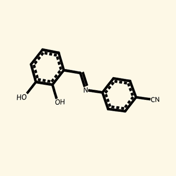 N#Cc1ccc(/N=C/c2cccc(O)c2O)cc1